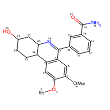 CCOc1cc2c(cc1OC)C(c1cccc(C(N)=O)c1)=NC1CC(O)CCC21